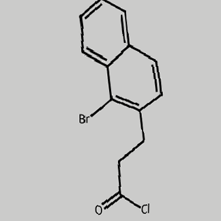 O=C(Cl)CCc1ccc2ccccc2c1Br